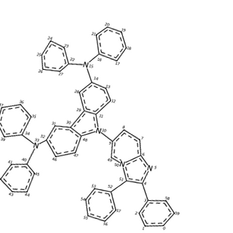 c1ccc(-c2nc3ccc(-n4c5ccc(N(c6ccccc6)c6ccccc6)cc5c5cc(N(c6ccccc6)c6ccccc6)ccc54)cn3c2-c2ccccc2)cc1